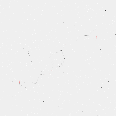 c1cc(OCCC2CO2)ccc1OCCC1CO1